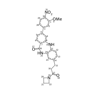 COc1cc(-c2ccc3c(c2)Nc2ccc(CCC(=O)N4CCC4)cc2NC3=O)ccc1[N+](=O)[O-]